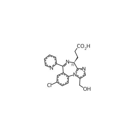 O=C(O)CC[C@@H]1N=C(c2ccccn2)c2cc(Cl)ccc2-n2c(CO)cnc21